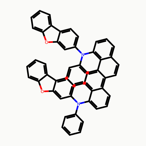 c1ccc(N(c2ccc3c(c2)oc2ccccc23)c2cccc3c2ccc2c3ccc3cccc(N(c4ccccc4)c4ccc5c(c4)oc4ccccc45)c32)cc1